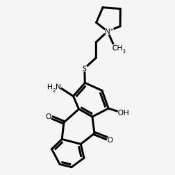 C[N+]1(CCSc2cc(O)c3c(c2N)C(=O)c2ccccc2C3=O)CCCC1